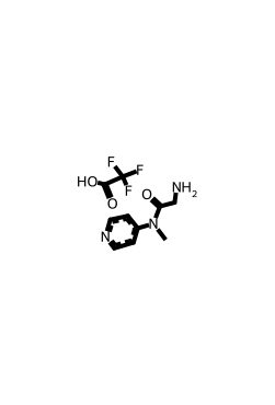 CN(C(=O)CN)c1ccncc1.O=C(O)C(F)(F)F